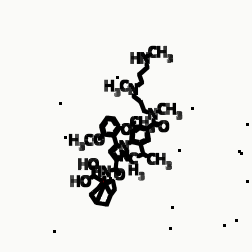 CNCCCN(C)CCCN(C)C(=O)c1ccc(-n2nc(C(=O)NC3(C(O)O)C4CC5CC(C4)CC3C5)cc2-c2c(OC)cccc2OC)c(C(C)C)c1